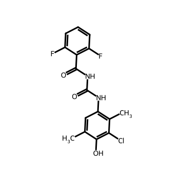 Cc1cc(NC(=O)NC(=O)c2c(F)cccc2F)c(C)c(Cl)c1O